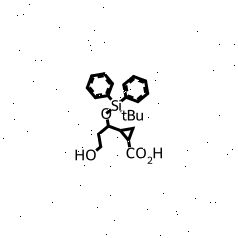 CC(C)(C)[Si](OC(CCO)C1CC1C(=O)O)(c1ccccc1)c1ccccc1